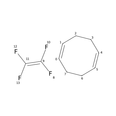 C1=CCCC=CCC1.FC(F)=C(F)F